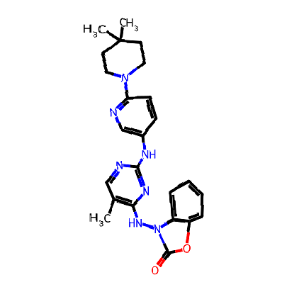 Cc1cnc(Nc2ccc(N3CCC(C)(C)CC3)nc2)nc1Nn1c(=O)oc2ccccc21